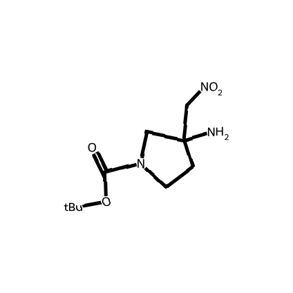 CC(C)(C)OC(=O)N1CCC(N)(C[N+](=O)[O-])C1